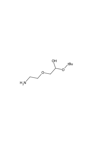 CC(C)(C)OC(O)COCCN